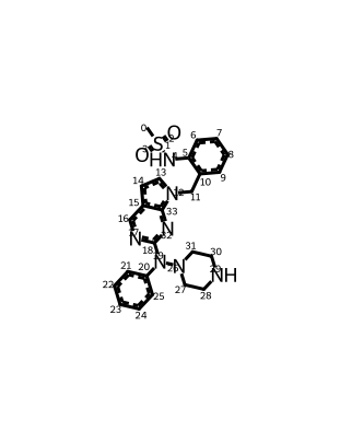 CS(=O)(=O)Nc1ccccc1Cn1ccc2cnc(N(c3ccccc3)N3CCNCC3)nc21